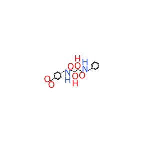 COC(=O)c1ccc(CNC(=O)C(O)C(O)C(=O)NCc2ccccc2)cc1